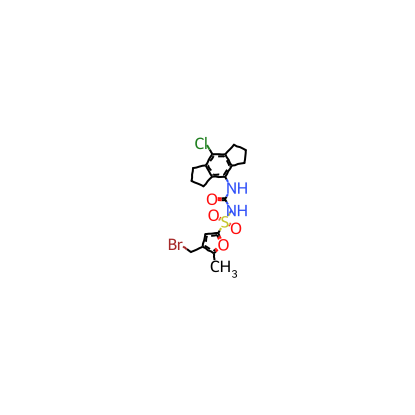 Cc1oc(S(=O)(=O)NC(=O)Nc2c3c(c(Cl)c4c2CCC4)CCC3)cc1CBr